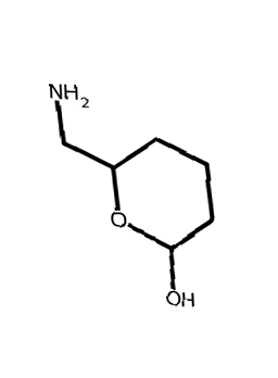 NCC1CCCC(O)O1